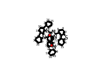 c1ccc(-c2nc(-c3cccc4sc5ccccc5c34)nc(-n3c4ccccc4c4ccc5c6ccccc6n(-c6cccc(-c7nc8ccccc8s7)c6)c5c43)n2)cc1